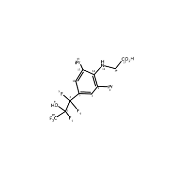 CC(C)c1cc(C(F)(F)C(O)(F)C(F)(F)F)cc(C(C)C)c1NCC(=O)O